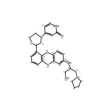 O=c1cc(N2CCOC(c3cccc4c3Sc3ccc(NC(CO)CN5CCCC5)cc3S4)C2)cc[nH]1